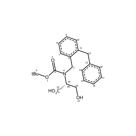 CC(C)(C)OC(=O)N(Cc1ccccc1Cc1ccccc1)[C@H](CO)C(=O)O